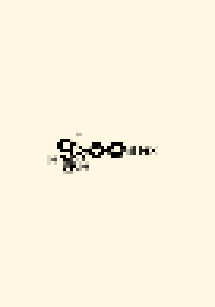 CCCCCCc1ccc(-c2ccc(C(=O)Nc3ccccc3CP(=O)(O)O)cc2)cc1